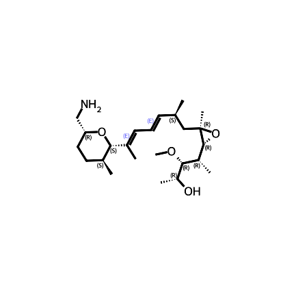 CO[C@H]([C@@H](C)[C@H]1O[C@]1(C)C[C@H](C)/C=C/C=C(\C)[C@H]1O[C@@H](CN)CC[C@@H]1C)[C@@H](C)O